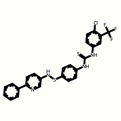 FC(F)(F)c1cc(NC(=S)Nc2ccc(SNc3ccc(-c4ccccc4)nc3)cc2)ccc1Cl